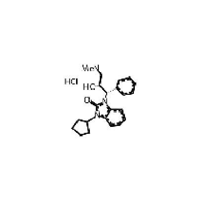 CNC[C@@H](O)[C@H](c1ccccc1)n1c(=O)n(C2CCCC2)c2ccccc21.Cl